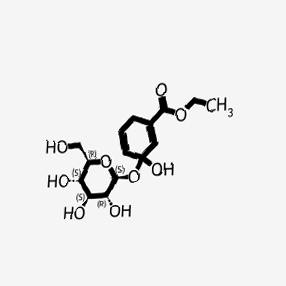 CCOC(=O)C1=CC(O)(O[C@@H]2O[C@H](CO)[C@@H](O)[C@H](O)[C@H]2O)C=CC1